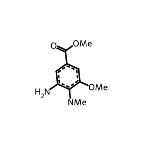 CNc1c(N)cc(C(=O)OC)cc1OC